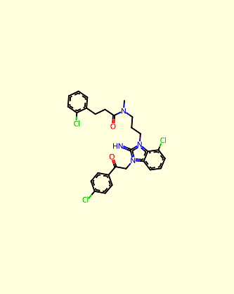 CN(CCCn1c(=N)n(CC(=O)c2ccc(Cl)cc2)c2cccc(Cl)c21)C(=O)CCc1ccccc1Cl